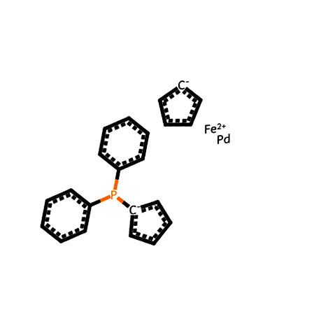 [Fe+2].[Pd].c1cc[cH-]c1.c1ccc(P(c2ccccc2)[c-]2cccc2)cc1